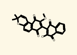 COC1=C(C2=C(Cl)C(=O)c3ccccc3C2=O)C(=O)c2ccc3c(c2C1=O)C=CC(C)(C)O3